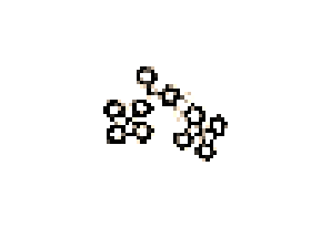 c1ccc(N(c2ccc3c(c2)Oc2c(ccc4c2-c2ccccc2C42c4ccccc4-c4ccccc42)O3)c2ccc3c(c2)-c2ccccc2C32c3ccccc3-c3ccccc32)cc1